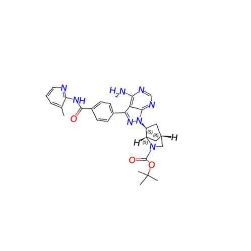 Cc1cccnc1NC(=O)c1ccc(-c2nn([C@H]3C[C@H]4C[C@@H]3N(C(=O)OC(C)(C)C)C4)c3ncnc(N)c23)cc1